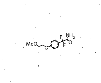 COCCOc1ccc(C(F)(F)C(N)=O)cc1